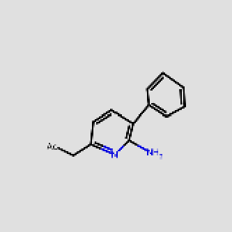 CC(=O)Cc1ccc(-c2ccccc2)c(N)n1